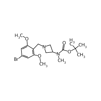 COc1cc(Br)cc(OC)c1CN1CC(N(C)C(=O)OC(C)(C)C)C1